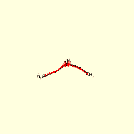 CCCCCCCCCCCCCCCCCCOC(=O)c1ccc(OCCCCCCCCCCCCCCCCCC)c(OC)c1